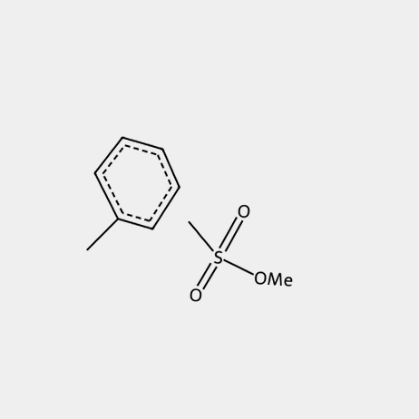 COS(C)(=O)=O.Cc1ccccc1